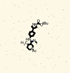 CC(=O)N1CCC(C)=C(/C(=N\I)Nc2ccc(-c3cnn(C(=O)OC(C)(C)C)c3)cc2)C1